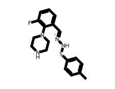 Cc1ccc(SN/N=C/c2cccc(F)c2N2CCNCC2)cc1